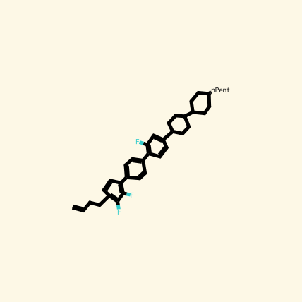 C=CCCc1ccc(-c2ccc(-c3ccc(C4CCC(C5CCC(CCCCC)CC5)CC4)cc3F)cc2)c(F)c1F